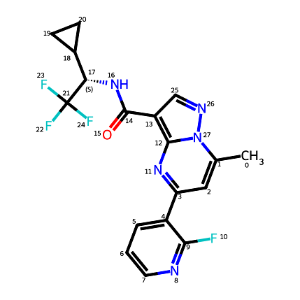 Cc1cc(-c2cccnc2F)nc2c(C(=O)N[C@@H](C3CC3)C(F)(F)F)cnn12